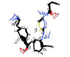 CCC(=O)Nc1csc(Nc2cc(C(=O)c3ccc(C#N)cc3)ccc2C)n1